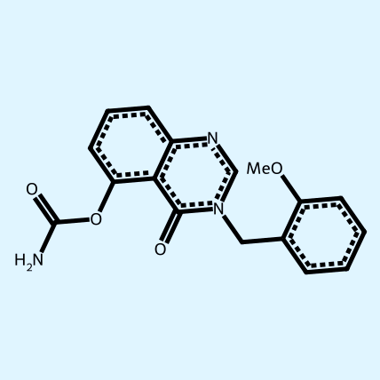 COc1ccccc1Cn1cnc2cccc(OC(N)=O)c2c1=O